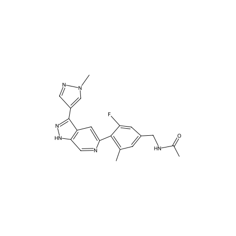 CC(=O)NCc1cc(C)c(-c2cc3c(-c4cnn(C)c4)n[nH]c3cn2)c(F)c1